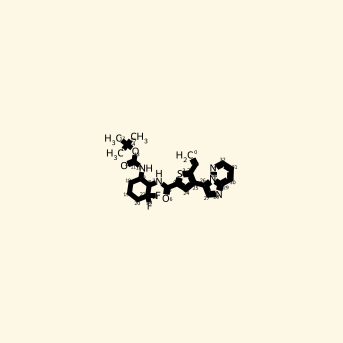 C=Cc1sc(C(=O)NC2C(NC(=O)OC(C)(C)C)CCCC2(F)F)cc1-c1cnc2cccnn12